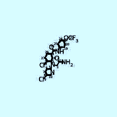 NC(=O)CN(c1ccc(Cl)cn1)c1cc(C(=O)Nc2ccc(OC(F)(F)F)cc2)ccc1Cl